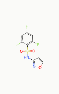 O=S(=O)(Nc1ccon1)c1c(F)cc(F)cc1F